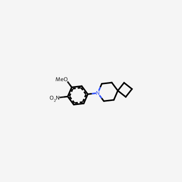 COc1cc(N2CCC3(CCC3)CC2)ccc1[N+](=O)[O-]